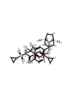 O=C(NS(=O)(=O)C1CC1)c1cc(C2CC2)c(CN2[C@@H]3CC[C@H]2C[C@@H](Oc2cc(C(F)(F)F)c(Cl)cn2)C3)cc1F